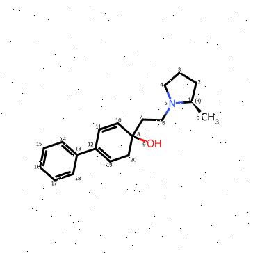 C[C@@H]1CCCN1CCC1(O)C=CC(c2ccccc2)=CC1